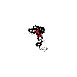 Cc1cccc(C2(CCN3[C@@H]4CC[C@H]3CC(n3c(C)nc5ccccc53)C4)CCN(C(=O)c3cccc(C(=O)O)c3)CC2)c1